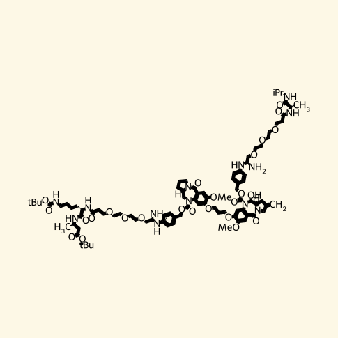 C=C1C[C@H]2[C@H](O)N(C(=O)OCc3ccc(N[C@H](N)COCCOCCOCCC(=O)N[C@@H](C)C(=O)NC(C)C)cc3)c3cc(OCCCOc4cc5c(cc4OC)C(=O)N4CCC[C@H]4CN5C(=O)OCc4ccc(N[C@H](N)COCCOCCOCCC(=O)N[C@@H](CCCCNC(=O)OC(C)(C)C)C(=O)N[C@@H](C)CC(=O)OC(C)(C)C)cc4)c(OC)cc3C(=O)N2C1